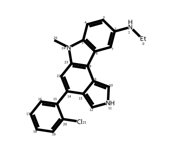 CCNc1ccc2c(c1)c1c3c[nH]cc3c(-c3ccccc3Cl)cc1n2C